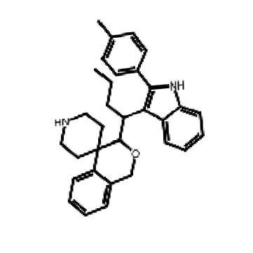 CCCC(c1c(-c2ccc(C)cc2)[nH]c2ccccc12)C1OCc2ccccc2C12CCNCC2